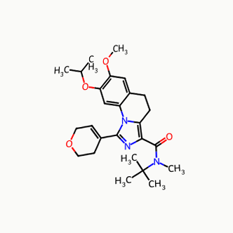 COc1cc2c(cc1OC(C)C)-n1c(C3=CCOCC3)nc(C(=O)N(C)C(C)(C)C)c1CC2